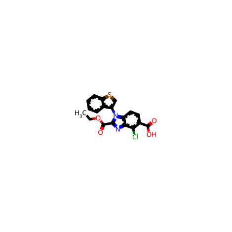 CCOC(=O)c1nc2c(Cl)c(C(=O)O)ccc2n1-c1csc2ccccc12